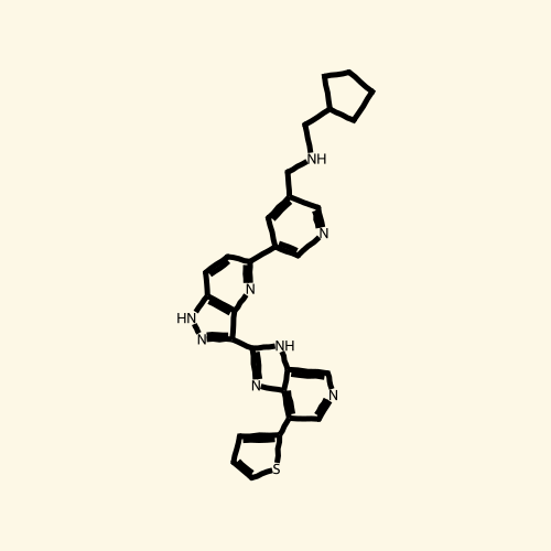 c1csc(-c2cncc3[nH]c(-c4n[nH]c5ccc(-c6cncc(CNCC7CCCC7)c6)nc45)nc23)c1